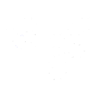 Nc1ccccc1N(Cc1ccc(-c2ccc3c(-c4ccc5ccccc5c4)c4c(c(-c5ccc6ccccc6c5)c3c2)=CCCC=4)cc1)c1ccccc1